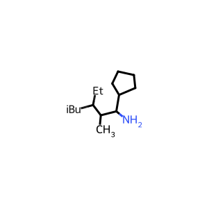 CCC(C)C(CC)C(C)C(N)C1CCCC1